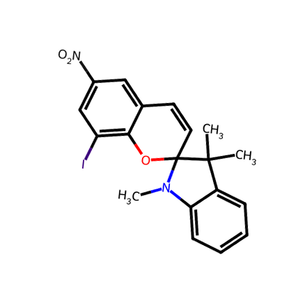 CN1c2ccccc2C(C)(C)C12C=Cc1cc([N+](=O)[O-])cc(I)c1O2